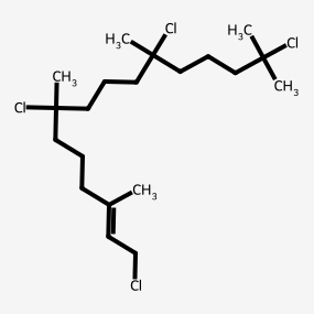 C/C(=C\CCl)CCCC(C)(Cl)CCCC(C)(Cl)CCCC(C)(C)Cl